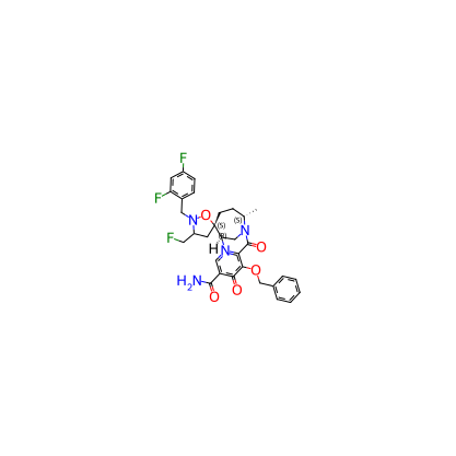 C[C@H]1CC[C@]2(CC(CF)N(Cc3ccc(F)cc3F)O2)[C@H]2CN1C(=O)c1c(OCc3ccccc3)c(=O)c(C(N)=O)cn12